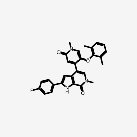 Cc1cccc(C)c1Oc1cn(C)c(=O)cc1-c1cn(C)c(=O)c2[nH]c(-c3ccc(F)cc3)cc12